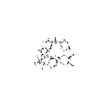 CN1CCN(C)C(c2cccc(Nc3ncc4ccc(-c5ccccc5N(C)S(C)(=O)=O)n4n3)c2)C1=O